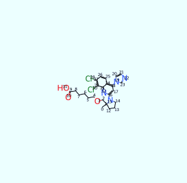 CC1(COCCCCCC(=O)O)CCCN1c1cc(-n2ccnc2)c2ccc(Cl)c(Cl)c2n1